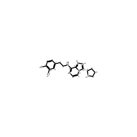 Fc1ccc(CCNc2nccn3c([C@@H]4CCCS4)nnc23)cc1Cl